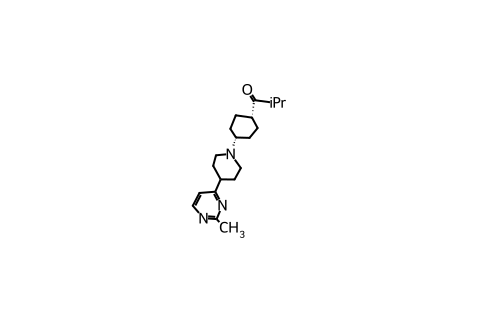 Cc1nccc(C2CCN([C@H]3CC[C@@H](C(=O)C(C)C)CC3)CC2)n1